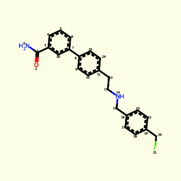 NC(=O)c1cccc(-c2ccc(CCNCc3ccc(CF)cc3)cc2)c1